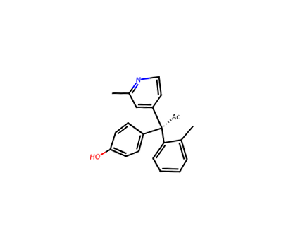 CC(=O)[C@](c1ccc(O)cc1)(c1ccnc(C)c1)c1ccccc1C